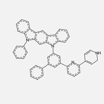 C1=CC(c2cccc(-c3cc(-c4ccccc4)cc(-n4c5ccccc5c5cc6c7ccccc7n(-c7ccccc7)c6cc54)c3)n2)=CCN1